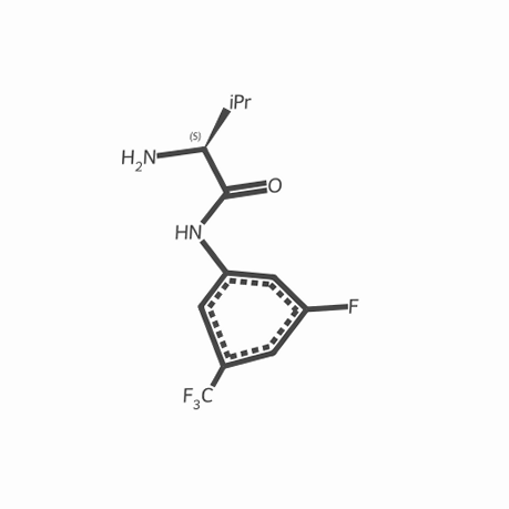 CC(C)[C@H](N)C(=O)Nc1cc(F)cc(C(F)(F)F)c1